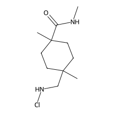 CNC(=O)C1(C)CCC(C)(CNCl)CC1